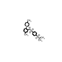 Cc1ccc(N2CCC(C)CC2)c(NS(=O)(=O)c2ccc(S(=O)(=O)N(C)C)cc2)c1